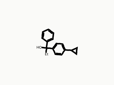 CCC(O)(c1ccccc1)c1ccc(C2CC2)cc1